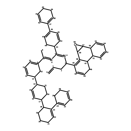 C=CCC(/N=C(\N=C(/C)C1=CC=CC(C2C=CC(C3CCCC=C3C3=CC=CCC3)CC2)C1)C1C=CC(C2=CCCC=C2)=CC1)C1=C2C(CC=C1)C1C=CC=CC1C1OC21